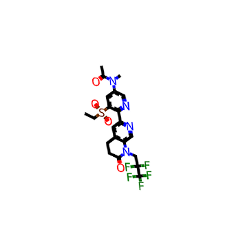 CCS(=O)(=O)c1cc(N(C)C(C)=O)cnc1-c1cc2c(cn1)N(CC(F)(F)C(F)(F)F)C(=O)CC2